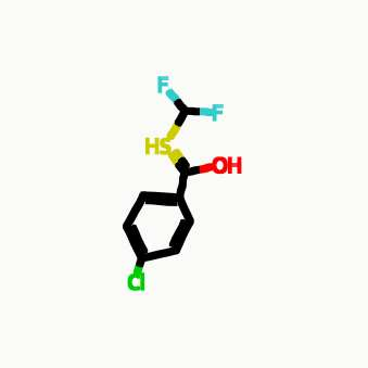 OC(=[SH]C(F)F)c1ccc(Cl)cc1